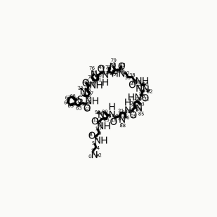 CN(C)CCCNC(=O)CCNC(=O)c1cc(NC(=O)c2cc(NC(=O)c3cc(NC(=O)c4nc(NC(=O)CCCNC(=O)c5cc(NC(=O)c6cc(NC(=O)c7cc(NC(=O)c8cc9ccccc9s8)cn7C)cn6C)cn5C)cn4C)cn3C)cn2C)cn1C